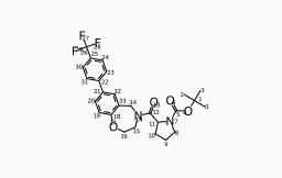 CC(C)(C)OC(=O)N1CCCC1C(=O)N1CCOc2ccc(-c3ccc(C(F)(F)F)cc3)cc2C1